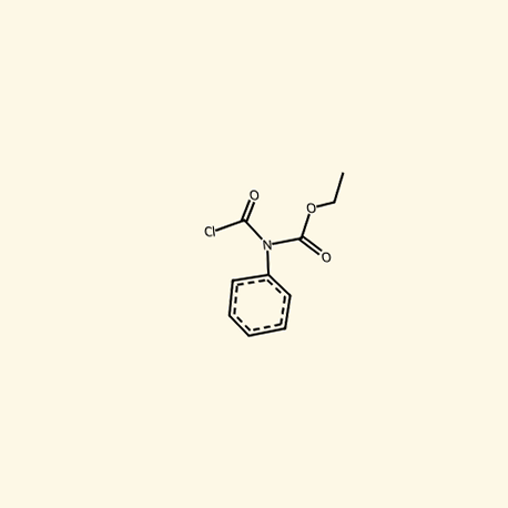 CCOC(=O)N(C(=O)Cl)c1ccccc1